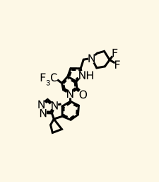 Cn1cnnc1C1(c2cccc(-n3cc(C(F)(F)F)c4cc(CN5CCC(F)(F)CC5)[nH]c4c3=O)c2)CCC1